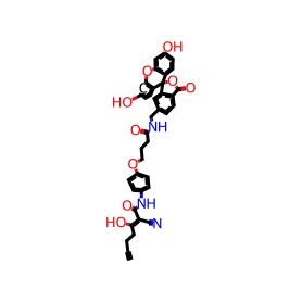 C#CCC/C(O)=C(\C#N)C(=O)Nc1ccc(OCCCC(=O)NCc2ccc3c(c2)C2(OC3=O)c3ccc(O)cc3Oc3cc(O)ccc32)cc1